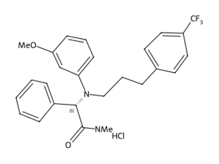 CNC(=O)[C@H](c1ccccc1)N(CCCc1ccc(C(F)(F)F)cc1)c1cccc(OC)c1.Cl